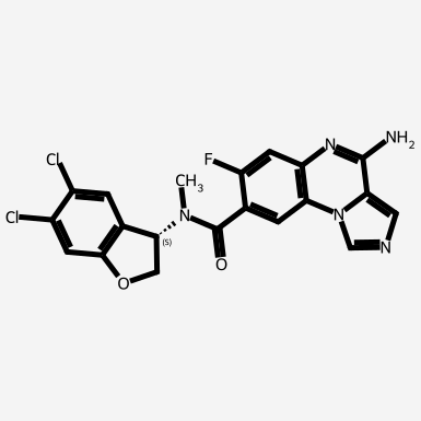 CN(C(=O)c1cc2c(cc1F)nc(N)c1cncn12)[C@@H]1COc2cc(Cl)c(Cl)cc21